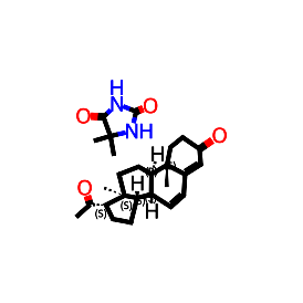 CC(=O)[C@H]1CC[C@H]2[C@@H]3C=CC4=CC(=O)CC[C@@]4(C)[C@@H]3CC[C@]12C.CC1(C)NC(=O)NC1=O